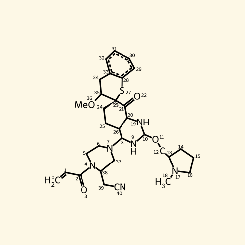 C=CC(=O)N1CCN(C2NC(OCC3CCCN3C)NC3C(=O)[C@@]4(CCC32)Sc2ccccc2CC4OC)CC1CC#N